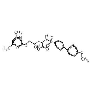 COc1ccc(-c2ccc(S(=O)(=O)NC(CC(O)CSc3nc(C)cc(C)n3)C(=O)O)cc2)cc1